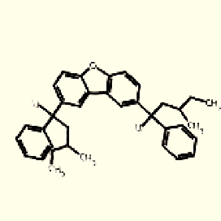 [Li][C](CC(C)CC)(c1ccccc1)c1ccc2oc3ccc([C]([Li])(CC(C)CC)c4ccccc4)cc3c2c1